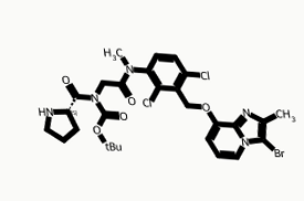 Cc1nc2c(OCc3c(Cl)ccc(N(C)C(=O)CN(C(=O)OC(C)(C)C)C(=O)[C@@H]4CCCN4)c3Cl)cccn2c1Br